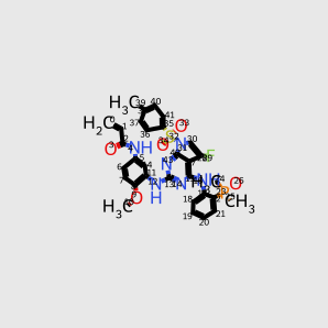 C=CC(=O)Nc1ccc(OC)c(Nc2nc(Nc3ccccc3P(C)(C)=O)c3c(F)cn(S(=O)(=O)c4ccc(C)cc4)c3n2)c1